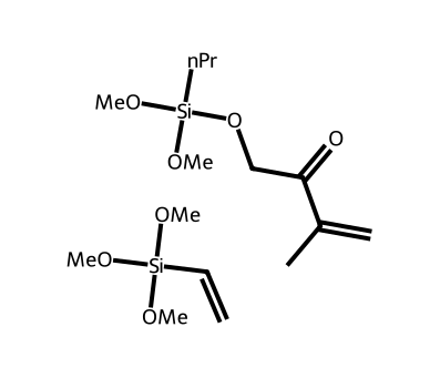 C=C(C)C(=O)CO[Si](CCC)(OC)OC.C=C[Si](OC)(OC)OC